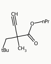 C#CC(C)(CC(C)(C)C)C(=O)OCCC